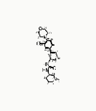 CN1CCCC(NC(=O)Nc2cncc(-c3ccc(N4CCOCC4)c(Cl)c3)n2)C1